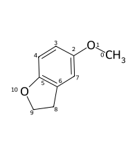 COc1ccc2c(c1)CCO2